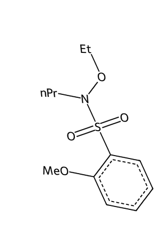 C[CH]CN(OCC)S(=O)(=O)c1ccccc1OC